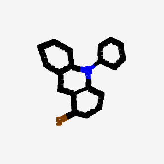 S=c1cccc2n(-c3ccccc3)c3ccccc3cc1-2